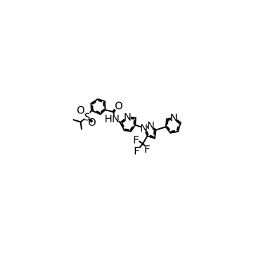 CC(C)S(=O)(=O)c1cccc(C(=O)Nc2ccc(-n3nc(-c4cccnc4)cc3C(F)(F)F)cn2)c1